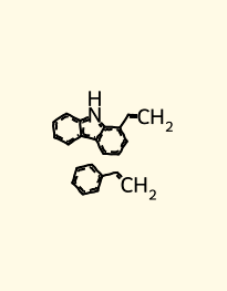 C=Cc1cccc2c1[nH]c1ccccc12.C=Cc1ccccc1